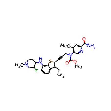 COc1cc(C(N)=O)ncc1N(CC#Cc1sc2c(NC3CCN(C)CC3F)cccc2c1CC(F)(F)F)C(=O)OC(C)(C)C